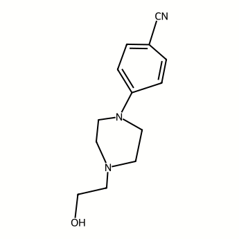 N#Cc1ccc(N2CCN(CCO)CC2)cc1